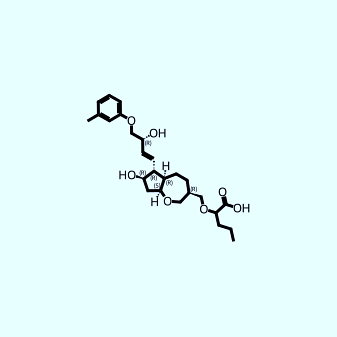 CCCC(OC[C@@H]1CC[C@@H]2[C@@H](C=C[C@@H](O)COc3cccc(C)c3)[C@H](O)C[C@@H]2OC1)C(=O)O